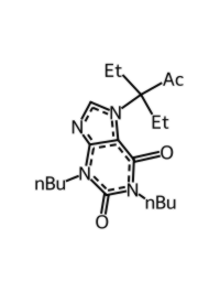 CCCCn1c(=O)c2c(ncn2C(CC)(CC)C(C)=O)n(CCCC)c1=O